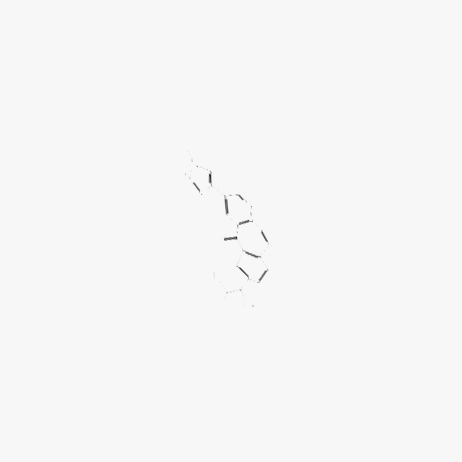 B=C1c2cc(C(O)C(F)F)ccc2C=Cc2ncc(-c3cnn(C)c3)cc21